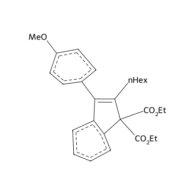 CCCCCCC1=C(c2ccc(OC)cc2)c2ccccc2C1(C(=O)OCC)C(=O)OCC